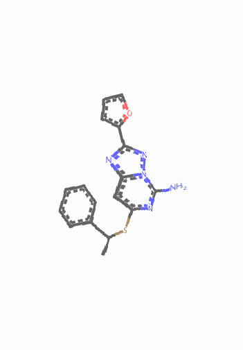 CC(Sc1cc2nc(-c3ccco3)nn2c(N)n1)c1ccccc1